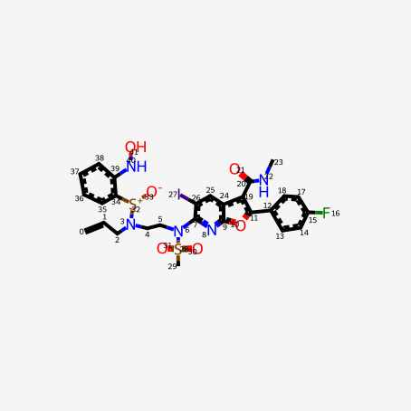 C=CCN(CCN(c1nc2oc(-c3ccc(F)cc3)c(C(=O)NC)c2cc1I)S(C)(=O)=O)[S+]([O-])c1ccccc1NO